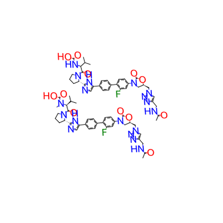 CC(=O)NCc1cn(C[C@H]2CN(c3ccc(-c4ccc(-c5cnc([C@@H]6CCCN6C(=O)[C@@H](NC(=O)O)C(C)C)[nH]5)cc4)c(F)c3)C(=O)O2)nn1.CC(=O)NCc1cn(C[C@H]2CN(c3ccc(-c4ccc(-c5cnc([C@@H]6CCCN6C(=O)[C@H](C(C)C)N(C)C(=O)O)[nH]5)cc4)c(F)c3)C(=O)O2)nn1